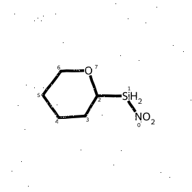 O=[N+]([O-])[SiH2]C1CCCCO1